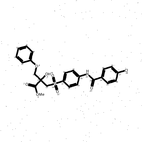 COC(=O)C(O)(COc1ccccc1)CS(=O)(=O)c1ccc(NC(=O)c2ccc(Cl)cc2)cc1